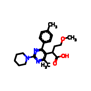 COCCC(C(=O)O)c1c(C)nc(N2CCCCC2)nc1-c1ccc(C)cc1